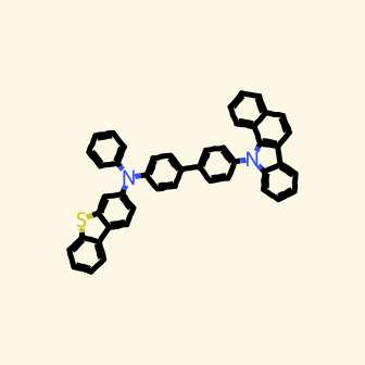 c1ccc(N(c2ccc(-c3ccc(-n4c5ccccc5c5ccc6ccccc6c54)cc3)cc2)c2ccc3c(c2)sc2ccccc23)cc1